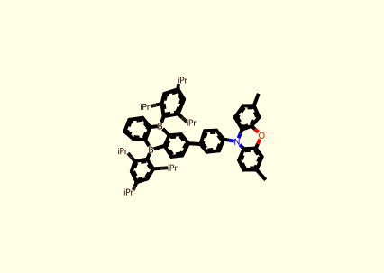 Cc1ccc2c(c1)Oc1cc(C)ccc1N2c1ccc(-c2ccc3c(c2)B(c2c(C(C)C)cc(C(C)C)cc2C(C)C)c2ccccc2B3c2c(C(C)C)cc(C(C)C)cc2C(C)C)cc1